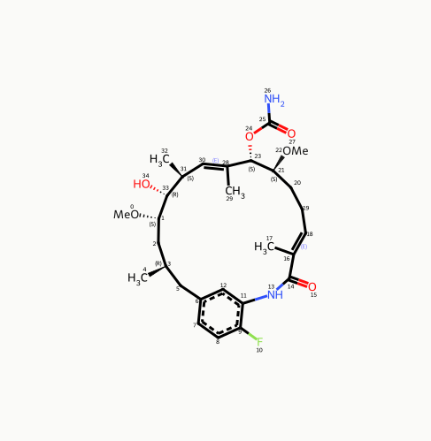 CO[C@H]1C[C@H](C)Cc2ccc(F)c(c2)NC(=O)/C(C)=C/CC[C@H](OC)[C@@H](OC(N)=O)/C(C)=C/[C@H](C)[C@H]1O